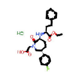 CCOC(=O)[C@H](CCc1ccccc1)N[C@H]1CC[C@H](c2ccc(F)cc2)CN(CC(=O)O)C1=O.Cl